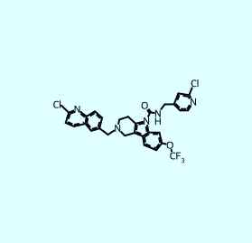 O=C(NCc1ccnc(Cl)c1)n1c2c(c3ccc(OC(F)(F)F)cc31)CN(Cc1ccc3nc(Cl)ccc3c1)CC2